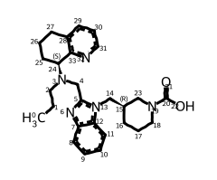 CCCN(Cc1nc2ccccc2n1C[C@@H]1CCCN(C(=O)O)C1)[C@H]1CCCc2cccnc21